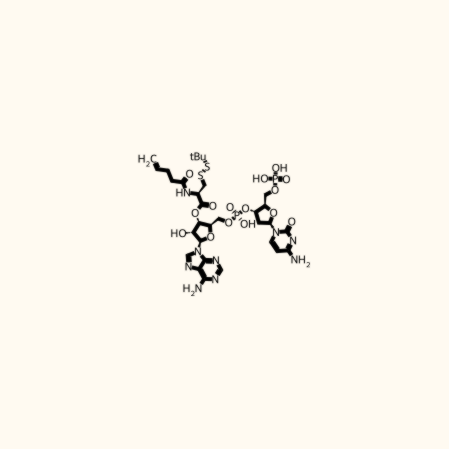 C=CCCC(=O)N[C@@H](CSSC(C)(C)C)C(=O)O[C@H]1[C@@H](O)[C@H](n2cnc3c(N)ncnc32)O[C@@H]1COP(=O)(O)O[C@H]1C[C@H](n2ccc(N)nc2=O)O[C@@H]1COP(=O)(O)O